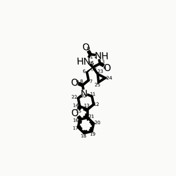 O=C1NC(=O)[C@](CCC(=O)N2CCc3c(oc4ccccc34)C2)(C2CC2)N1